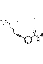 CCC(C)NC(=O)c1cccc(C#CCCCCC(=O)O)c1